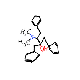 CN(C)[C@@H](Cc1ccccc1)C(O)(Cc1ccccc1)Cc1ccccc1